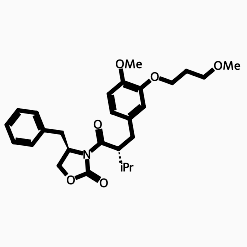 COCCCOc1cc(C[C@@H](C(=O)N2C(=O)OC[C@H]2Cc2ccccc2)C(C)C)ccc1OC